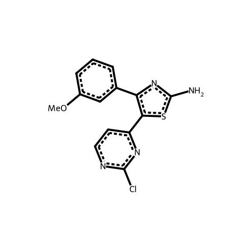 COc1cccc(-c2nc(N)sc2-c2ccnc(Cl)n2)c1